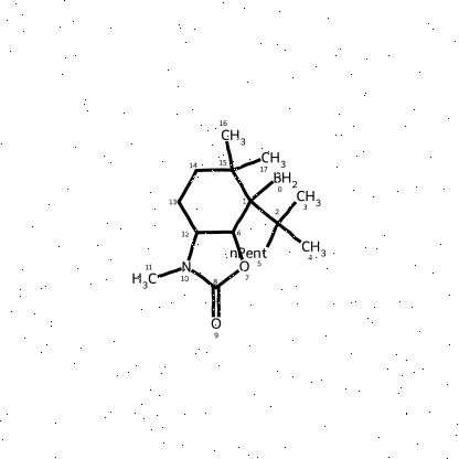 BC1(C(C)(C)CCCCC)C2OC(=O)N(C)C2CCC1(C)C